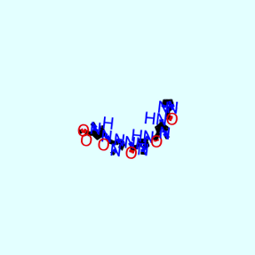 COC(=O)c1cc(NC(=O)c2nc(NC(=O)c3cc(NC(=O)c4cc(NC(=O)c5nccn5C)cn4C)cn3C)cn2C)cn1C